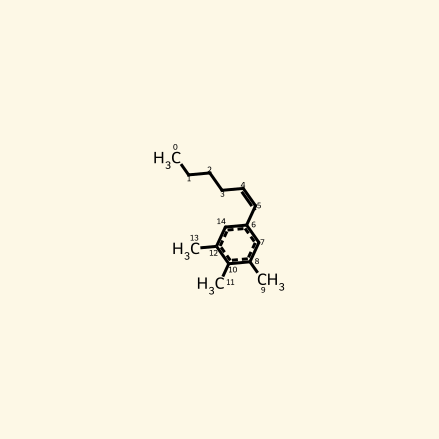 CCCC/C=[C]\c1cc(C)c(C)c(C)c1